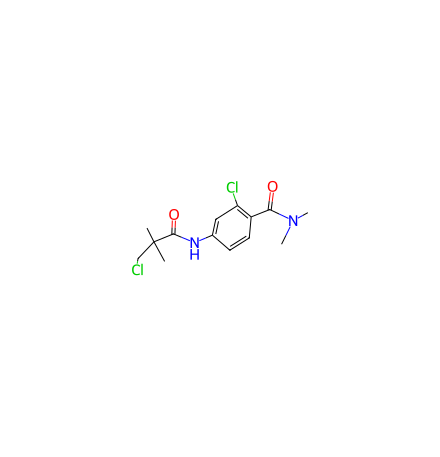 CN(C)C(=O)c1ccc(NC(=O)C(C)(C)CCl)cc1Cl